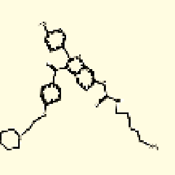 NCCCCCNC(=O)Oc1ccc2c(C(=O)c3ccc(OCCN4CCCCC4)cc3)c(-c3ccc(O)cc3)sc2c1